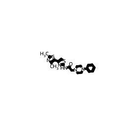 Cc1nc(C)c(-c2csc(NC(=O)CN3CCN(c4ccccc4)CC3)n2)s1